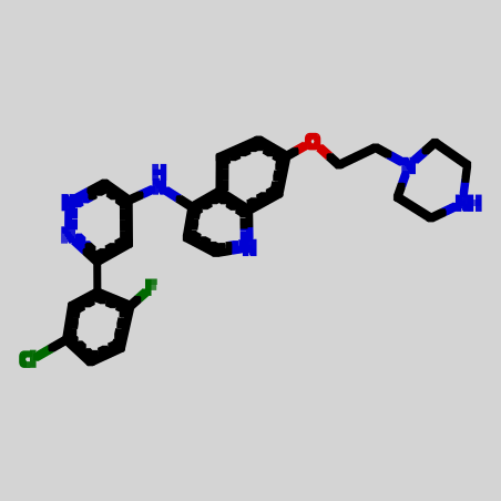 Fc1ccc(Cl)cc1-c1cc(Nc2ccnc3cc(OCCN4CCNCC4)ccc23)cnn1